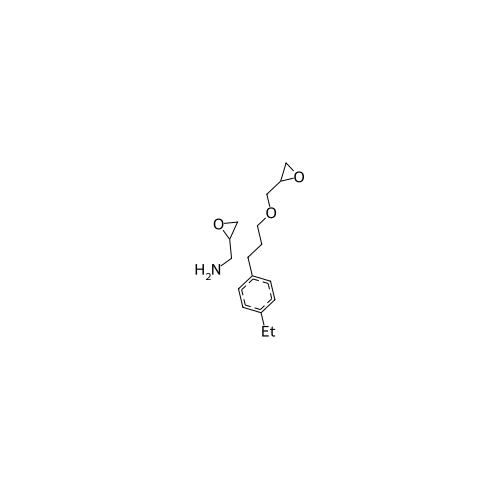 CCc1ccc(CCCOCC2CO2)cc1.NCC1CO1